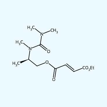 CCOC(=O)/C=C/C(=O)OC[C@@H](C)N(C)C(=O)N(C)C